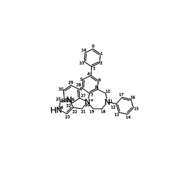 c1ccc(-c2ccc3c(c2)CN(c2ccccc2)CC[N+]3(Cc2c[nH]cn2)c2ccccc2)cc1